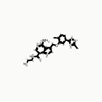 Cc1nnc(-c2ccc(C)c(OCc3csc4c(C(=O)NCCO)cnc(N)c34)c2)o1